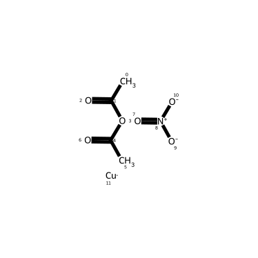 CC(=O)OC(C)=O.O=[N+]([O-])[O-].[Cu]